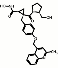 Cc1cc(COc2ccc(C[C@]3(C(=O)N4CCC[C@H]4CO)C[C@@H]3C(=O)NO)cc2)c2ccccc2n1